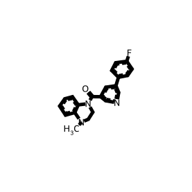 CN1CCN(C(=O)c2cncc(-c3ccc(F)cc3)c2)c2ccccc21